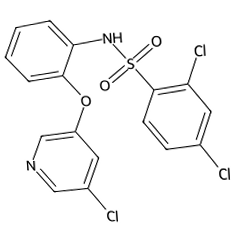 O=S(=O)(Nc1ccccc1Oc1cncc(Cl)c1)c1ccc(Cl)cc1Cl